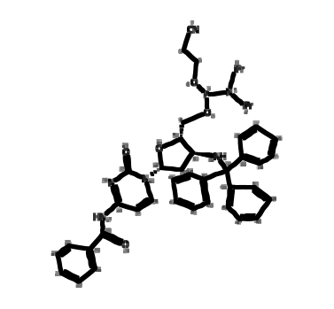 CC(C)N(C(C)C)P(OCCC#N)OC[C@H]1O[C@@H](n2ccc(NC(=O)c3ccccc3)nc2=O)C[C@@H]1NC(c1ccccc1)(c1ccccc1)c1ccccc1